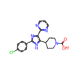 O=C(O)N1CCC(c2[nH]c(-c3ccc(Cl)cc3)nc2-c2ncccn2)CC1